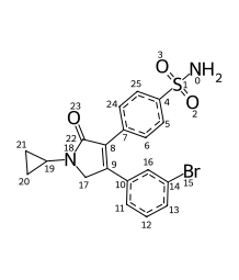 NS(=O)(=O)c1ccc(C2=C(c3cccc(Br)c3)CN(C3CC3)C2=O)cc1